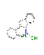 Cl.Cl.c1ccc2c(c1)Cc1c-2ncc2ccccc12